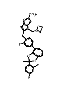 C[C@]1(c2ccc(Cl)cc2F)Oc2cccc(-c3ccc(Cc4nc5sc(C(=O)O)cc5n4C[C@@H]4CCO4)c(F)c3)c2O1